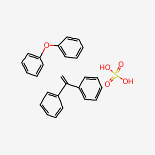 C=C(c1ccccc1)c1ccccc1.O=S(=O)(O)O.c1ccc(Oc2ccccc2)cc1